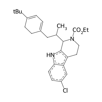 CCOC(=O)N1CCc2c([nH]c3ccc(Cl)cc23)C1C(C)CC1=CC=C(C(C)(C)C)CC1